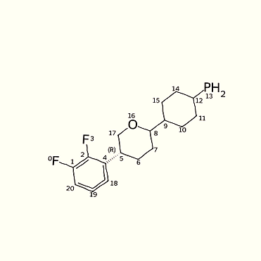 FC1=C(F)C([C@H]2CCC(C3CCC(P)CC3)OC2)=C=C=C1